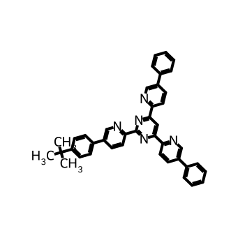 CC(C)(C)c1ccc(-c2ccc(-c3nc(-c4ccc(-c5ccccc5)cn4)cc(-c4ccc(-c5ccccc5)cn4)n3)nc2)cc1